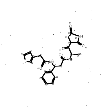 CC(C)[C@@H](NC(=O)C[C@H](NC(=O)Cc1ccsc1)c1ccccc1)C(=O)C1CC(=O)NC1=O